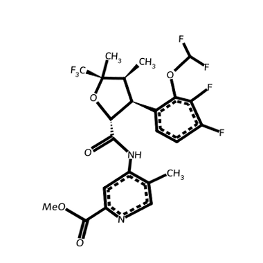 COC(=O)c1cc(NC(=O)[C@@H]2O[C@@](C)(C(F)(F)F)[C@@H](C)[C@H]2c2ccc(F)c(F)c2OC(F)F)c(C)cn1